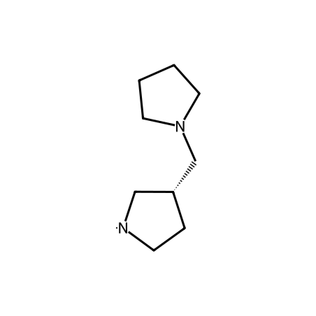 C1CCN(C[C@@H]2CC[N]C2)C1